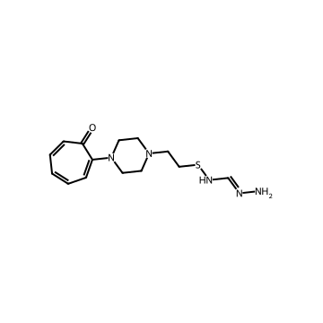 NN=CNSCCN1CCN(c2cccccc2=O)CC1